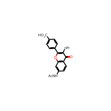 CCCc1c(-c2ccc(C(=O)O)cc2)oc2cc(NC(C)=O)ccc2c1=O